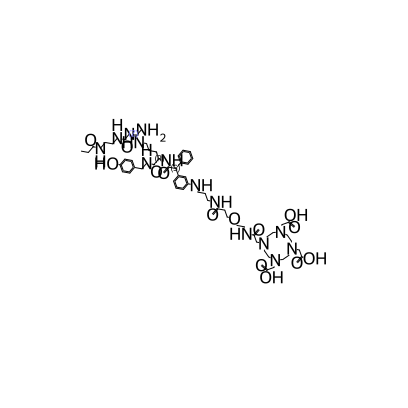 CCC(=O)NCCNC(=O)/N=C(/N)NCCC[C@@H](NC(=O)[C@@H](c1ccccc1)c1cccc(NCCCNC(=O)CCOCCNC(=O)CN2CCN(CC(=O)O)CCN(CC(=O)O)CCN(CC(=O)O)CC2)c1)C(=O)NCc1ccc(O)cc1